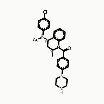 CC(=O)N(c1ccc(Cl)cc1)[C@@H]1C[C@H](C)N(C(=O)c2ccc(N3CCNCC3)cc2)c2ccccc21